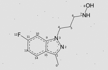 Cc1nn(CCCNO)c2cc(F)ccc12